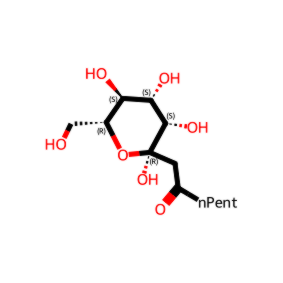 CCCCCC(=O)C[C@@]1(O)O[C@H](CO)[C@@H](O)[C@H](O)[C@@H]1O